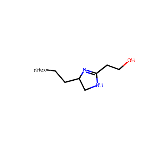 CCCCCCCCC1CNC(CCO)=N1